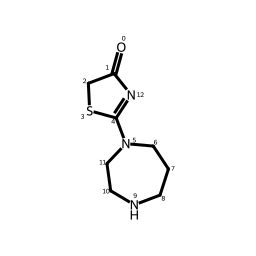 O=C1CSC(N2CCCNCC2)=N1